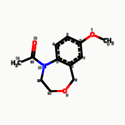 COc1ccc2c(c1)COCCN2C(C)=O